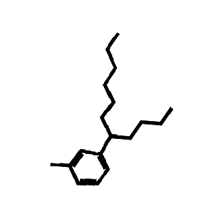 CCCCCCC(CCCC)c1cccc(C)c1